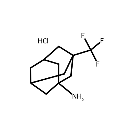 Cl.NC12CC3CC(C1)CC(C(F)(F)F)(C3)C2